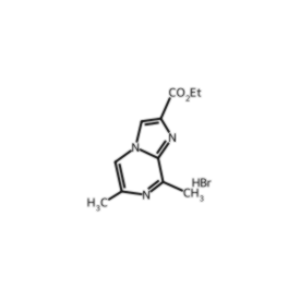 Br.CCOC(=O)c1cn2cc(C)nc(C)c2n1